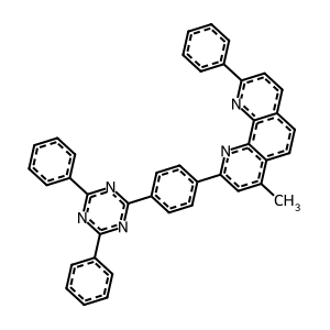 Cc1cc(-c2ccc(-c3nc(-c4ccccc4)nc(-c4ccccc4)n3)cc2)nc2c1ccc1ccc(-c3ccccc3)nc12